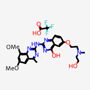 COc1cc(OC)c2nc(Nc3nc(O)c4cc(OCCN(C)CCO)ccc4n3)nc(C)c2c1.O=C(O)C(F)(F)F